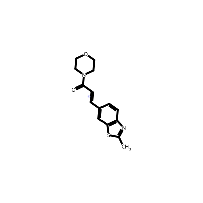 Cc1nc2ccc(/C=C/C(=O)N3CCOCC3)cc2s1